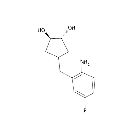 Nc1ccc(F)cc1CC1C[C@@H](O)[C@H](O)C1